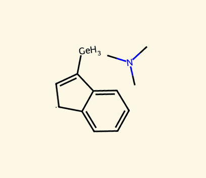 CN(C)C.[GeH3][C]1=C[CH]c2ccccc21